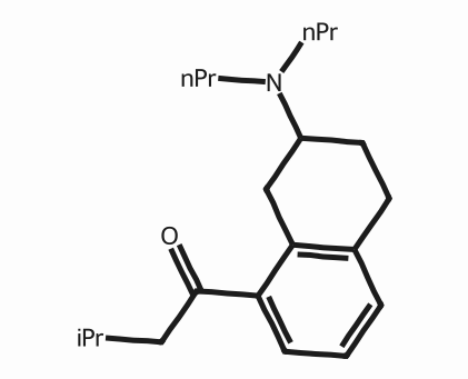 CCCN(CCC)C1CCc2cccc(C(=O)CC(C)C)c2C1